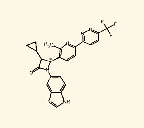 Cc1nc(-c2ccc(C(F)(F)F)nn2)ccc1[C@@H]1C(C2CC2)C(=O)N1c1ccc2[nH]cnc2c1